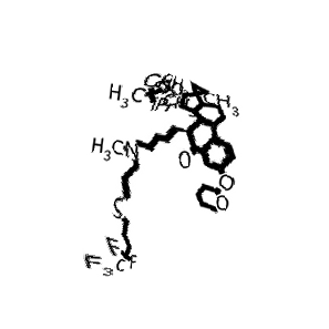 CC(C)C(C)(C)[Si](C)(C)O[C@@H]1CC2C3C(CC[C@]2(C)C12CC2)c1ccc(OC2CCCCO2)cc1C(=O)[C@H]3CCCCCN(C)CCCSCCCC(F)(F)C(F)(F)F